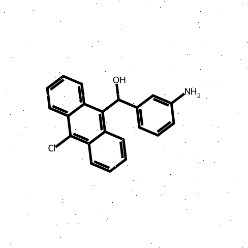 Nc1cccc(C(O)c2c3ccccc3c(Cl)c3ccccc23)c1